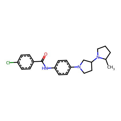 CC1CCCN1C1CCN(c2ccc(NC(=O)c3ccc(Cl)cc3)cc2)C1